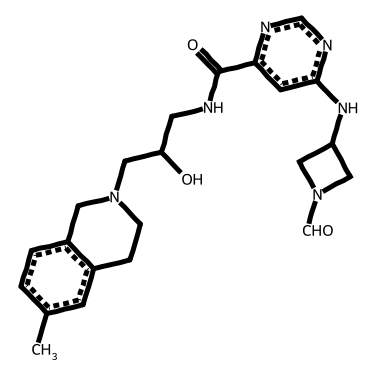 Cc1ccc2c(c1)CCN(CC(O)CNC(=O)c1cc(NC3CN(C=O)C3)ncn1)C2